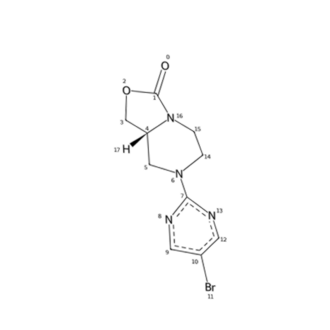 O=C1OC[C@H]2CN(c3ncc(Br)cn3)CCN12